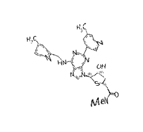 CNC(=O)[C@@H]1C[C@@H](O)[C@H](n2cnc3c(NCc4cc(C)ccn4)nc(-c4cncc(C)c4)nc32)S1